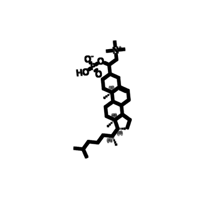 CC(C)CCC[C@@H](C)[C@H]1CCC2C3CC=C4CC(C(C[N+](C)(C)C)OP(=O)([O-])O)CC[C@]4(C)C3CC[C@@]21C